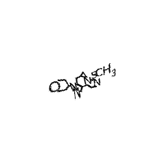 CSc1nccc(-c2cnn(C3CCOCC3)c2CC2CC2)n1